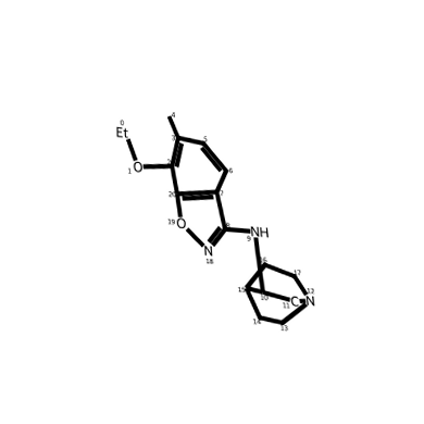 CCOc1c(C)ccc2c(NC3CN4CCC3CC4)noc12